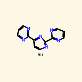 [Ru].c1cnc(-c2ccnc(-c3ncccn3)n2)nc1